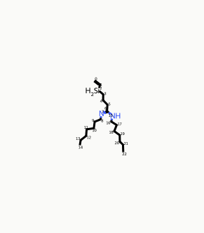 C=C[SiH2]CCCC(=NCCCCCCC)NCCCCCCC